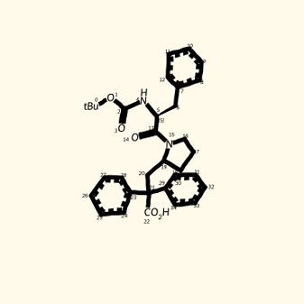 CC(C)(C)OC(=O)N[C@@H](Cc1ccccc1)C(=O)N1CCCC1CC(C(=O)O)(c1ccccc1)c1ccccc1